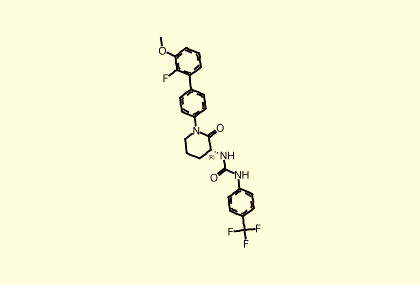 COc1cccc(-c2ccc(N3CCC[C@@H](NC(=O)Nc4ccc(C(F)(F)F)cc4)C3=O)cc2)c1F